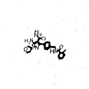 Cc1ccccc1C(=O)NCc1ccc(-c2nn([C@H]3CCOC3)c(N)c2C(N)=O)cc1